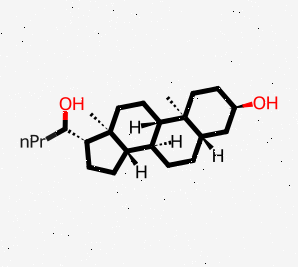 CCCC(O)[C@H]1CC[C@H]2[C@@H]3CC[C@H]4C[C@H](O)CC[C@]4(C)[C@H]3CC[C@]12C